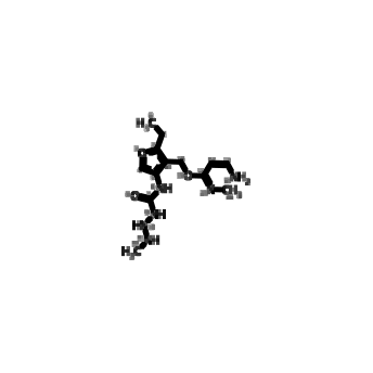 CCc1occ(NC(=O)NNNC)c1COC(/C=C\N)=N/C